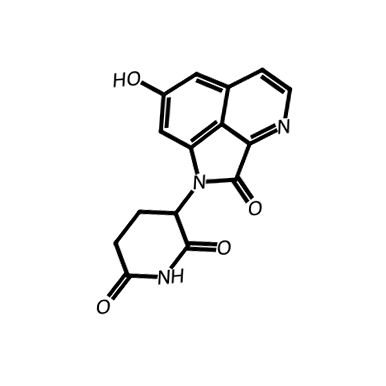 O=C1CCC(N2C(=O)c3nccc4cc(O)cc2c34)C(=O)N1